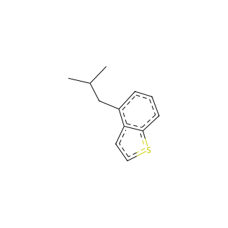 CC(C)Cc1cccc2sccc12